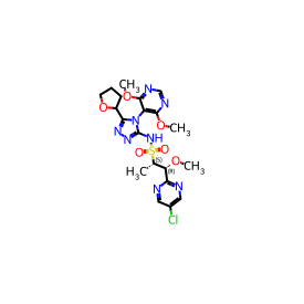 COc1ncnc(OC)c1-n1c(NS(=O)(=O)[C@@H](C)[C@H](OC)c2ncc(Cl)cn2)nnc1C1CCCO1